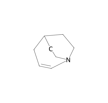 C1=CN2CCC(C1)CC2